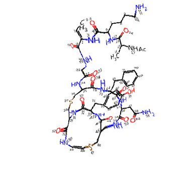 C/C=C(\NC(=O)C(CCCCN)NC(=O)C(C)NC(C)=O)C(=O)NCC(=O)NC1CSCC2NC(=O)C(Cc3ccc(O)cc3)NC(=O)C(CS/C=C\NC2=O)NC(=O)C(CC(N)=O)NC(=O)C(Cc2ccccc2)NC1=O